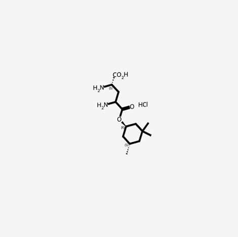 C[C@@H]1C[C@@H](OC(=O)C(N)C[C@H](N)C(=O)O)CC(C)(C)C1.Cl